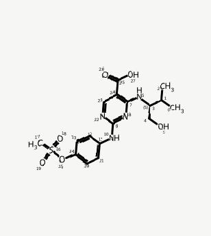 CC(C)[C@@H](CO)Nc1nc(Nc2ccc(OS(C)(=O)=O)cc2)ncc1C(=O)O